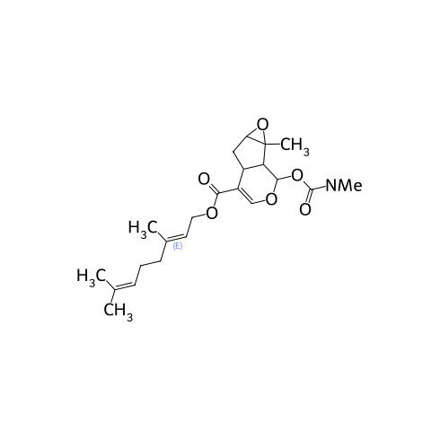 CNC(=O)OC1OC=C(C(=O)OC/C=C(\C)CCC=C(C)C)C2CC3OC3(C)C12